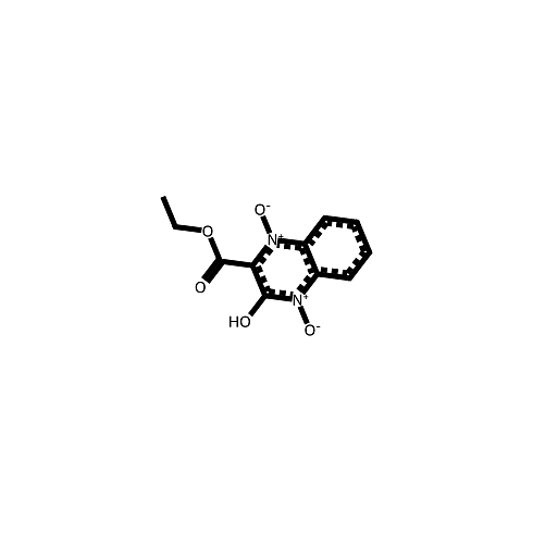 CCOC(=O)c1c(O)[n+]([O-])c2ccccc2[n+]1[O-]